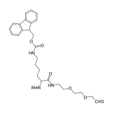 CNC(CCCCNC(=O)OCC1c2ccccc2-c2ccccc21)C(=O)NCCOCCOCC=O